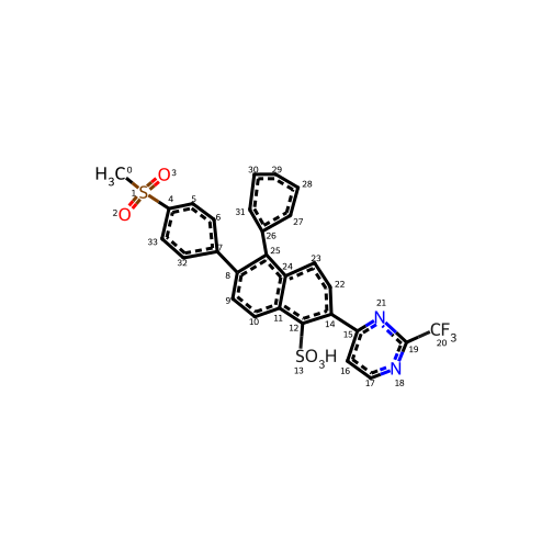 CS(=O)(=O)c1ccc(-c2ccc3c(S(=O)(=O)O)c(-c4ccnc(C(F)(F)F)n4)ccc3c2-c2ccccc2)cc1